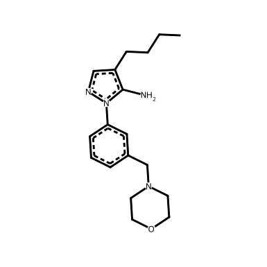 CCCCc1cnn(-c2cccc(CN3CCOCC3)c2)c1N